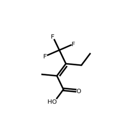 CC/C(=C(/C)C(=O)O)C(F)(F)F